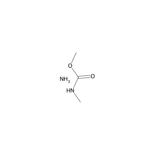 CNC(=O)OC.N